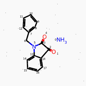 N.O=C1C(=O)N(Cc2ccccc2)c2ccccc21